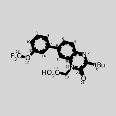 CC(C)(C)c1nc2ccc(-c3cccc(OC(F)(F)F)c3)cc2n(CC(=O)O)c1=O